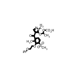 Cc1c(C(=O)c2cnn(C)c2OC(C)OC(=O)O)ccc(S(C)(=O)=O)c1OCCOC(C)C